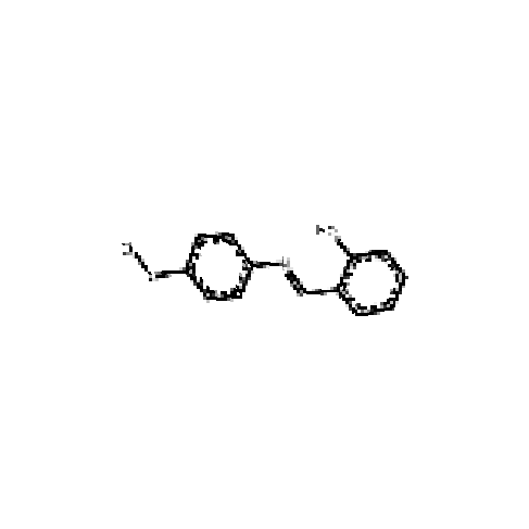 CCOc1ccc(N=Cc2ccccc2O)cc1